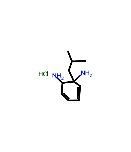 CC(C)CC1(N)C=CC=CC1N.Cl